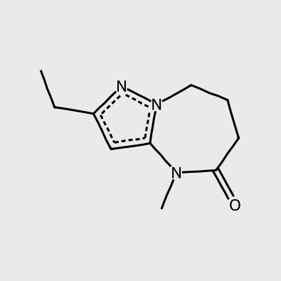 CCc1cc2n(n1)CCCC(=O)N2C